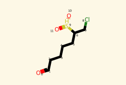 O=[C]CCCCC(CCl)[SH](=O)=O